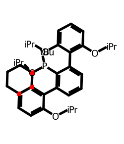 CC(C)Oc1cccc(OC(C)C)c1-c1cccc(-c2c(OC(C)C)cccc2OC(C)C)c1P(C1CCCCC1)C(C)(C)C